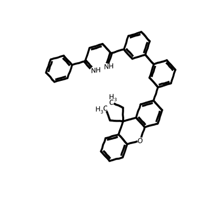 CCC1(CC)c2ccccc2Oc2ccc(-c3cccc(-c4cccc(C(=N)/C=C\C(=N)c5ccccc5)c4)c3)cc21